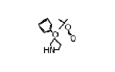 CC(C)(C)OC=O.c1ccc(O[C@H]2CCNC2)cc1